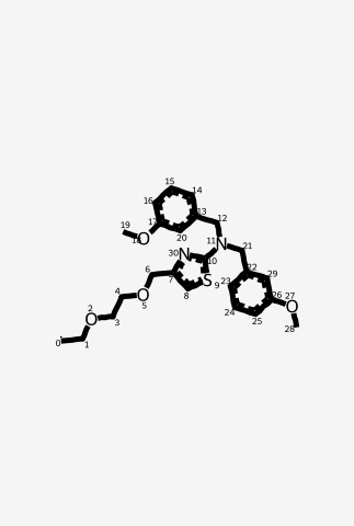 [CH2]COCCOCc1csc(N(Cc2cccc(OC)c2)Cc2cccc(OC)c2)n1